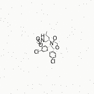 CCC[C@H](CNS(C)(=O)=O)N1C(=O)CO[C@H](c2ccc(Cl)cc2)[C@@H]1c1ccc(Cl)cc1